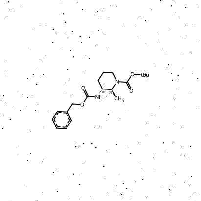 C[C@H]1[C@H](NC(=O)OCc2ccccc2)CCCN1C(=O)OC(C)(C)C